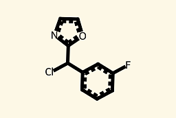 Fc1cccc(C(Cl)c2ncco2)c1